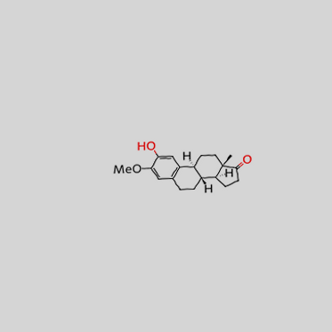 COc1cc2c(cc1O)[C@H]1CC[C@]3(C)C(=O)CC[C@H]3[C@@H]1CC2